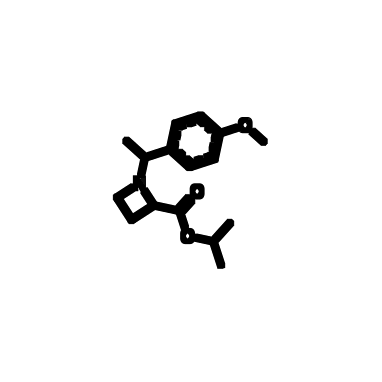 COc1ccc(C(C)N2CCC2C(=O)OC(C)C)cc1